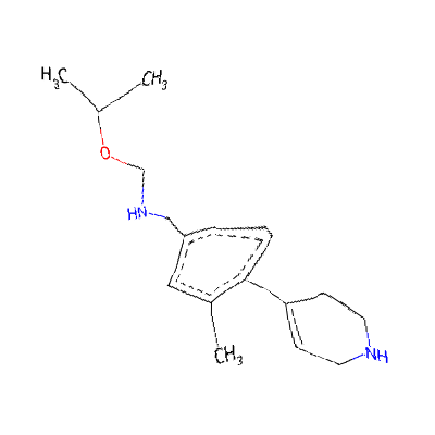 Cc1cc(NCOC(C)C)ccc1C1=CCNCC1